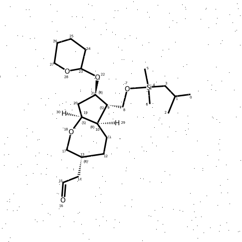 CC(C)C[Si](C)(C)OC[C@@H]1[C@H]2CC[C@H](CC=O)CO[C@H]2C[C@H]1OC1CCCCO1